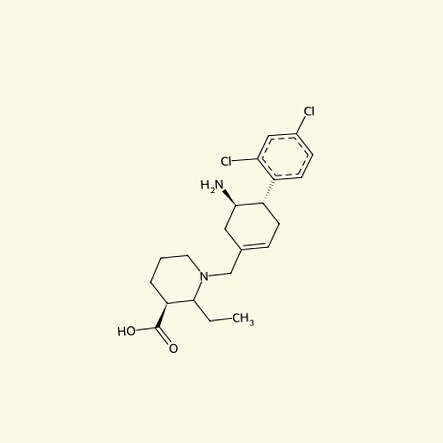 CCC1[C@@H](C(=O)O)CCCN1CC1=CC[C@@H](c2ccc(Cl)cc2Cl)[C@H](N)C1